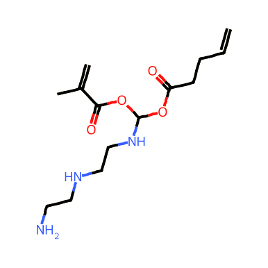 C=CCCC(=O)OC(NCCNCCN)OC(=O)C(=C)C